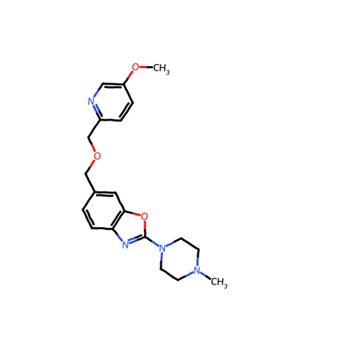 COc1ccc(COCc2ccc3nc(N4CCN(C)CC4)oc3c2)nc1